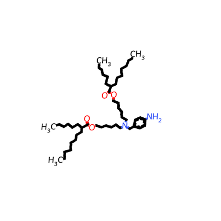 CCCCCCCCC(CCCCCC)C(=O)OCCCCCCN(CCCCCCOC(=O)C(CCCCCC)CCCCCCCC)Cc1ccc(N)cc1